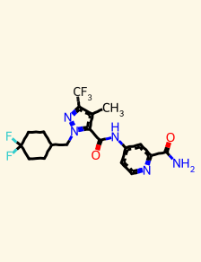 Cc1c(C(F)(F)F)nn(CC2CCC(F)(F)CC2)c1C(=O)Nc1ccnc(C(N)=O)c1